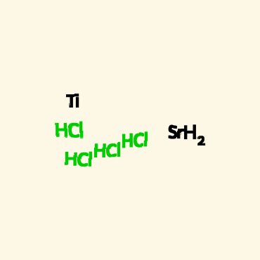 Cl.Cl.Cl.Cl.[SrH2].[Ti]